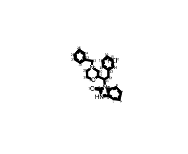 Cl.O=c1[nH]c2ccccc2n1C(Cc1ccccc1)C1CN(Cc2ccccc2)CCO1